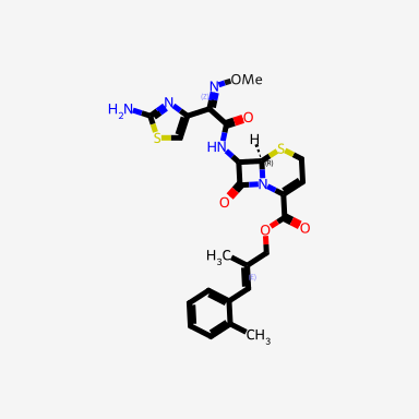 CO/N=C(\C(=O)NC1C(=O)N2C(C(=O)OC/C(C)=C/c3ccccc3C)=CCS[C@H]12)c1csc(N)n1